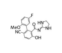 COc1ccc(F)cc1-c1c(C#N)ccc(O)c1C(=O)N=C1NCCN1